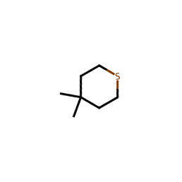 CC1(C)CCSCC1